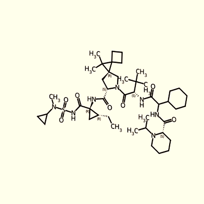 CC[C@@H]1C[C@]1(NC(=O)[C@@H]1C[C@@]2(CN1C(=O)[C@@H](NC(=O)C(NC(=O)[C@@H]1CCCCN1C(C)C)C1CCCCC1)C(C)(C)C)C(C)(C)C21CCC1)C(=O)NS(=O)(=O)N(C)C1CC1